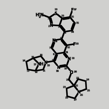 Nc1nc2c(-c3ncc4c(N5CC6CCC(C5)N6)nc(OCC56CCCN5CCC6)nc4c3F)ccc(F)c2s1